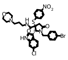 O=C1C[C@](Sc2ccc([N+](=O)[O-])cc2)(C(=O)NCCCN2CCOCC2)[C@@H](c2c[nH]c3cc(Cl)ccc23)N1Cc1ccc(Br)cc1